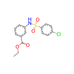 CCOC(=O)c1cccc(NS(=O)(=O)c2ccc(Cl)cc2)c1